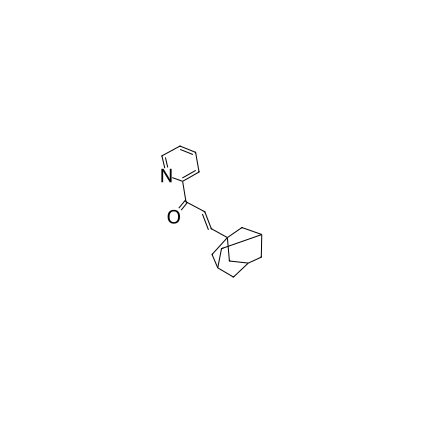 O=C(/C=C/C12CC3CC(CC(C3)C1)C2)c1ccccn1